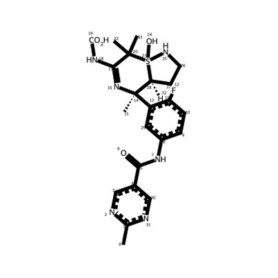 Cc1ncc(C(=O)Nc2ccc(F)c([C@@]3(C)N=C(NC(=O)O)C(C)(C)S4(O)NCC[C@@H]34)c2)cn1